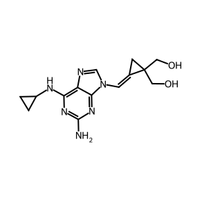 Nc1nc(NC2CC2)c2ncn(C=C3CC3(CO)CO)c2n1